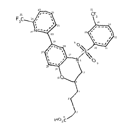 O=C(O)CCCC1CN(S(=O)(=O)c2cccc(C(F)(F)F)c2)c2cc(-c3cccc(C(F)(F)F)n3)ccc2O1